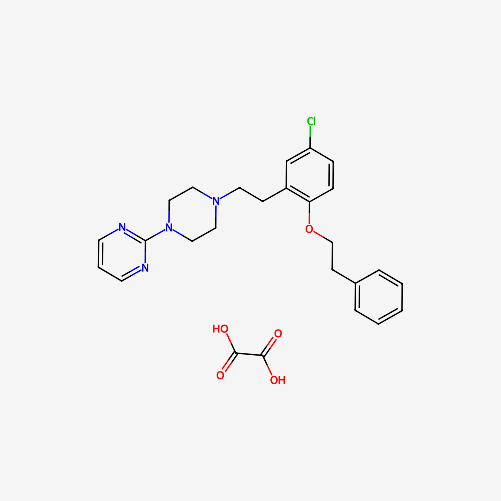 Clc1ccc(OCCc2ccccc2)c(CCN2CCN(c3ncccn3)CC2)c1.O=C(O)C(=O)O